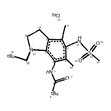 Cc1c2c(c(NC(=O)C(C)(C)C)c(C)c1NS(C)(=O)=O)N(CC(C)(C)C)CC2.Cl